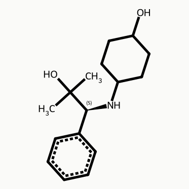 CC(C)(O)[C@@H](NC1CCC(O)CC1)c1ccccc1